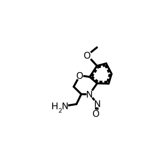 COc1cccc2c1OCC(CN)N2N=O